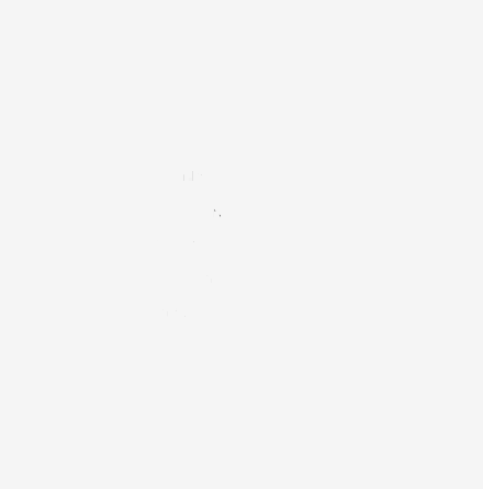 CCCCOC(=O)N(CCC)c1ccccc1